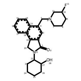 O=C1c2cc(CN3CCCC(F)C3)c3ccccc3c2CN1C1CCCCC1O